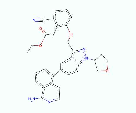 CCOC(=O)Cc1c(C#N)cccc1OCc1nn(C2CCOC2)c2ccc(-c3cccc4c(N)nccc34)cc12